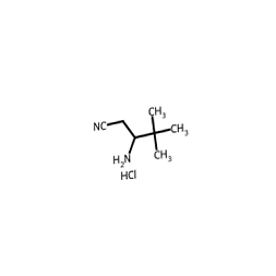 CC(C)(C)C(N)CC#N.Cl